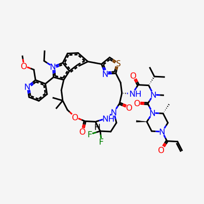 C=CC(=O)N1C[C@@H](C)N(C(=O)N(C)[C@H](C(=O)N[C@H]2Cc3nc(cs3)-c3ccc4c(c3)c(c(-c3cccnc3COC)n4CC)CC(C)(C)COC(=O)[C@H]3NN(CCC3(F)F)C2=O)C(C)C)[C@H](C)C1